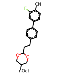 CCCCCCCCC1COC(CCc2ccc(-c3ccc(C#N)c(F)c3)cc2)OC1